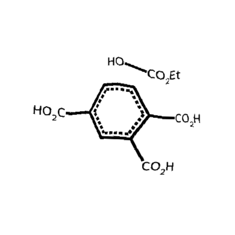 CCOC(=O)O.O=C(O)c1ccc(C(=O)O)c(C(=O)O)c1